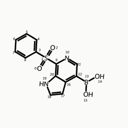 O=S(=O)(c1ccccc1)c1ncc(B(O)O)c2cc[nH]c12